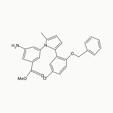 COC(=O)c1cc(N)cc(-n2c(C)ccc2-c2cc(Cl)ccc2OCc2ccccc2)c1